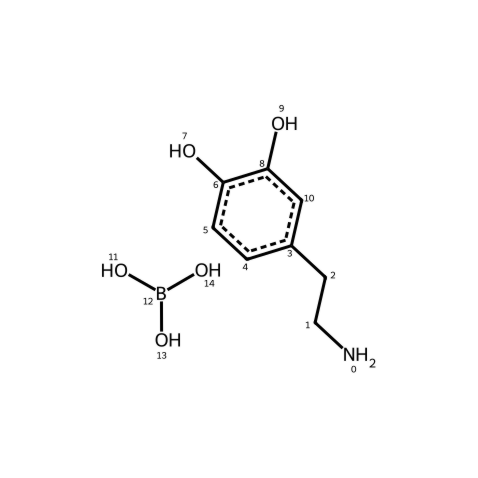 NCCc1ccc(O)c(O)c1.OB(O)O